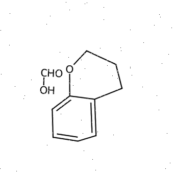 O=CO.c1ccc2c(c1)CCCO2